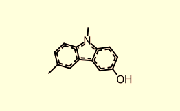 Cc1ccc2c(c1)c1cc(O)ccc1n2C